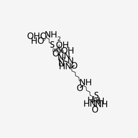 NC(C=O)(CO)CCSC[C@H]1OC(n2cnc3c(NC(=O)CCCCCNC(=O)CCCCC4SC[C@@H]5NC(=O)N[C@H]45)ncnc32)[C@H](O)[C@@H]1O